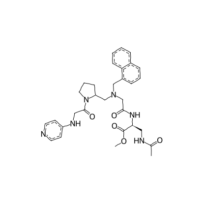 COC(=O)[C@H](CNC(C)=O)NC(=O)CN(Cc1cccc2ccccc12)CC1CCCN1C(=O)CNc1ccncc1